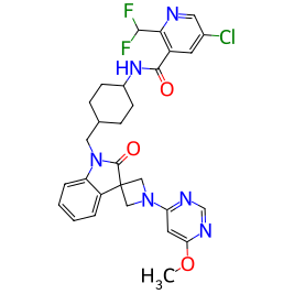 COc1cc(N2CC3(C2)C(=O)N(CC2CCC(NC(=O)c4cc(Cl)cnc4C(F)F)CC2)c2ccccc23)ncn1